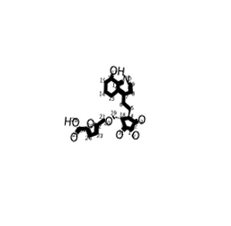 O=C1C(=O)[C@H](CCc2ccnc3c2CCCC3O)[C@@H](COCc2ccc(C(=O)O)o2)C1=O